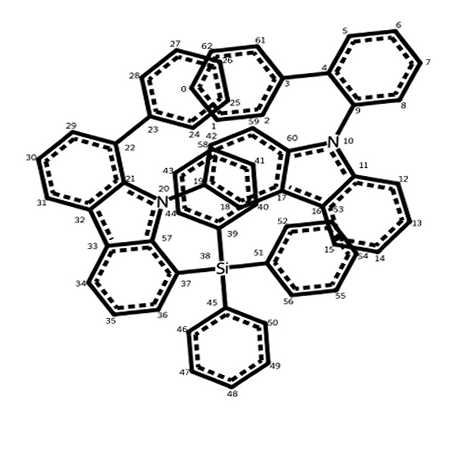 c1ccc(-c2ccccc2-n2c3ccccc3c3cc(-n4c5c(-c6ccccc6)cccc5c5cccc([Si](c6ccccc6)(c6ccccc6)c6ccccc6)c54)ccc32)cc1